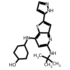 CC(C)(C)Nc1cc(NC2CCC(O)CC2)c2sc(-c3ccn[nH]3)cc2n1